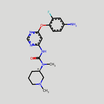 CN1CCC[C@@H](N(C)C(=O)Nc2cc(Oc3ccc(N)cc3F)ncn2)C1